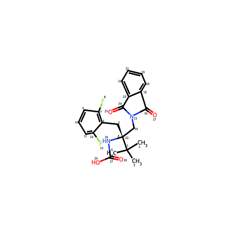 CC(C)(C)[C@@](Cc1c(F)cccc1F)(CN1C(=O)c2ccccc2C1=O)NC(=O)O